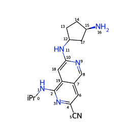 CC(C)Nc1nc(C#N)cc2cnc(NC3CC[C@@H](N)C3)cc12